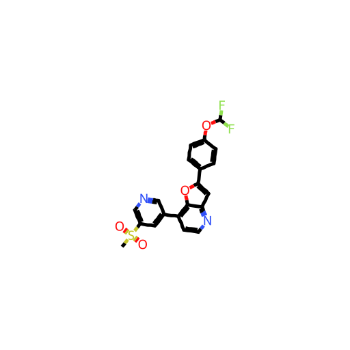 CS(=O)(=O)c1cncc(-c2ccnc3cc(-c4ccc(OC(F)F)cc4)oc23)c1